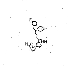 Cc1nccn1-c1ccc2[nH]cc(CCCC(Cc3cccc(F)c3)N3CCNCC3)c2c1